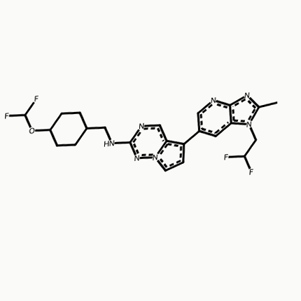 Cc1nc2ncc(-c3ccn4nc(NCC5CCC(OC(F)F)CC5)ncc34)cc2n1CC(F)F